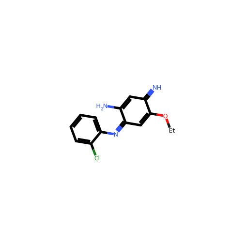 CCOC1=C/C(=N/c2ccccc2Cl)C(N)=CC1=N